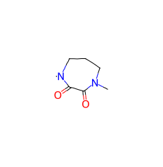 CN1CCC[N]C(=O)C1=O